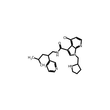 CC(C)CC(CNC(=O)c1cn(CC2CCCN2)c2nccc(Cl)c12)c1cccnc1